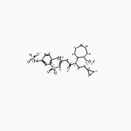 CS(=O)(=O)Nc1ccc2c(c1)S(=O)(=O)N=C(CC(=O)N(CCC1CC1)C1CCCCCC1C(=O)O)N2